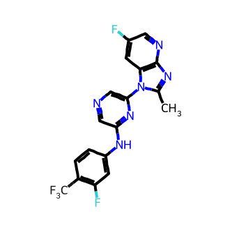 Cc1nc2ncc(F)cc2n1-c1cncc(Nc2ccc(C(F)(F)F)c(F)c2)n1